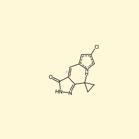 CC1(C2=NNC(=O)/C2=C/c2cc(Cl)c[nH]2)CC1